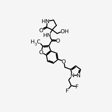 Cc1oc2ccc(OCc3ccnn3CC(F)F)cc2c1C(=O)NC1(CO)CCNC1=O